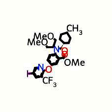 COCC(COC)N(c1ccc(Oc2ncc(I)cc2C(F)(F)F)cc1C(=O)OC)C(=O)[C@H]1CC[C@H](C)CC1